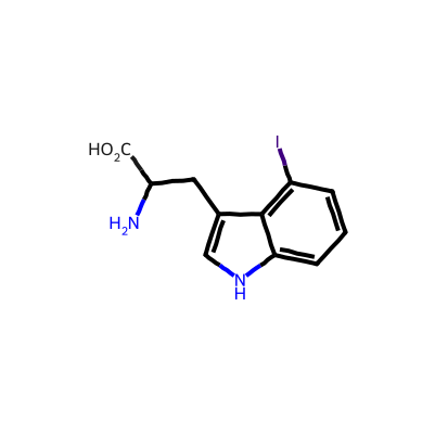 NC(Cc1c[nH]c2cccc(I)c12)C(=O)O